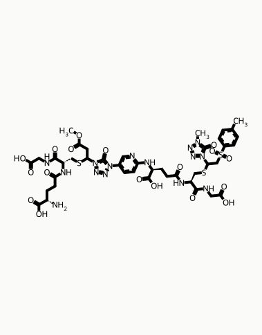 COC(=O)CC(SC[C@H](NC(=O)CC[C@H](N)C(=O)O)C(=O)NCC(=O)O)n1nnn(-c2ccc(N[C@@H](CCC(=O)N[C@@H](CSC(CS(=O)(=O)c3ccc(C)cc3)n3nnn(C)c3=O)C(=O)NCC(=O)O)C(=O)O)nc2)c1=O